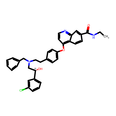 CCNC(=O)c1ccc2c(Oc3ccc(CCN(Cc4ccccc4)C[C@H](O)c4cccc(Cl)c4)cc3)ccnc2c1